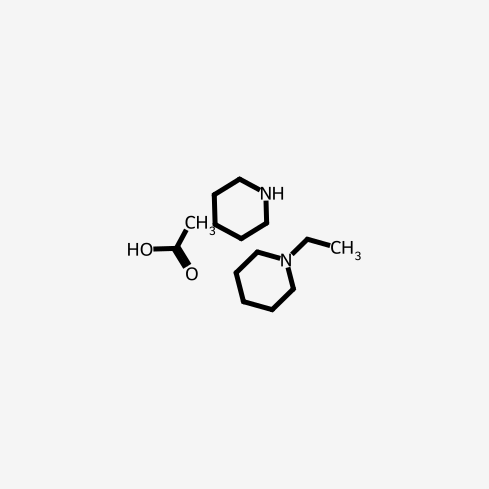 C1CCNCC1.CC(=O)O.CCN1CCCCC1